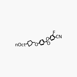 CCCCCCCCC1CCC(COc2ccc(C(=O)Oc3ccc(C#N)c(F)c3)cc2)CC1